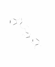 Cc1nc(-c2c[nH]c(C(N)Cc3c[nH]c4ccccc34)n2)ccc1F